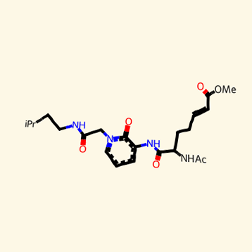 COC(=O)C=CCCC(NC(C)=O)C(=O)Nc1cccn(CC(=O)NCCC(C)C)c1=O